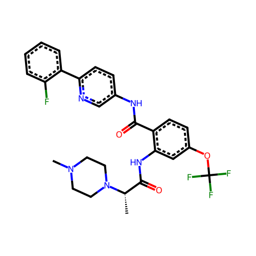 C[C@@H](C(=O)Nc1cc(OC(F)(F)F)ccc1C(=O)Nc1ccc(-c2ccccc2F)nc1)N1CCN(C)CC1